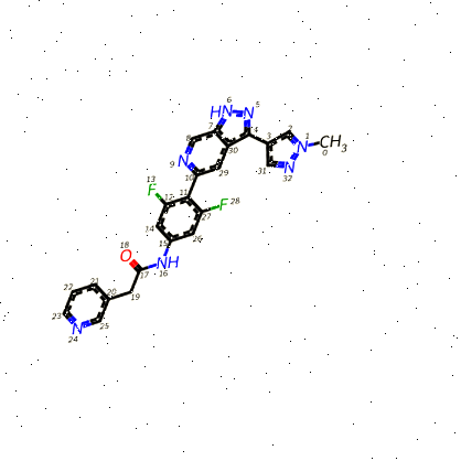 Cn1cc(-c2n[nH]c3cnc(-c4c(F)cc(NC(=O)Cc5cccnc5)cc4F)cc23)cn1